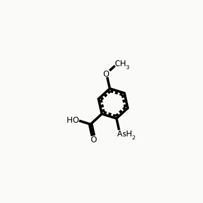 COc1ccc([AsH2])c(C(=O)O)c1